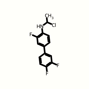 CC(Cl)Nc1ccc(-c2ccc(F)c(F)c2)cc1F